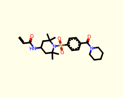 C=CC(=O)NC1CC(C)(C)N(S(=O)(=O)c2ccc(C(=O)N3CCCCC3)cc2)C(C)(C)C1